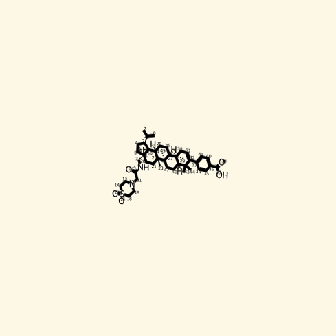 C=C(C)[C@@H]1CC[C@]2(CNC(=O)CN3CCS(=O)(=O)CC3)CC[C@]3(C)[C@H](CC[C@@H]4[C@@]5(C)CC=C(c6ccc(C(=O)O)cc6)C(C)(C)[C@@H]5CC[C@]43C)[C@@H]12